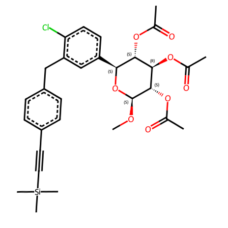 CO[C@H]1O[C@@H](c2ccc(Cl)c(Cc3ccc(C#C[Si](C)(C)C)cc3)c2)[C@H](OC(C)=O)[C@@H](OC(C)=O)[C@@H]1OC(C)=O